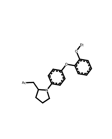 CCOc1ccccc1Oc1ccc(N2CCCC2CC(C)=O)cc1